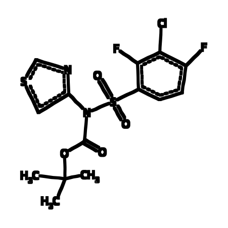 CC(C)(C)OC(=O)N(c1cscn1)S(=O)(=O)c1ccc(F)c(Cl)c1F